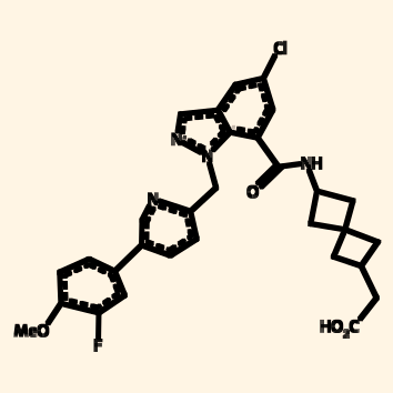 COc1ccc(-c2ccc(Cn3ncc4cc(Cl)cc(C(=O)NC5CC6(CC(CC(=O)O)C6)C5)c43)nc2)cc1F